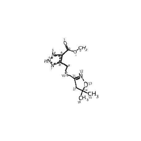 COC(=O)c1n[nH]nc1CSC1=NOC(C)(C)C1